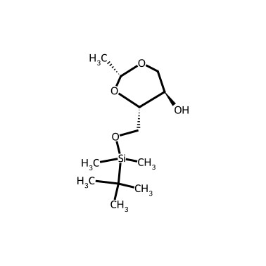 C[C@@H]1OC[C@@H](O)[C@H](CO[Si](C)(C)C(C)(C)C)O1